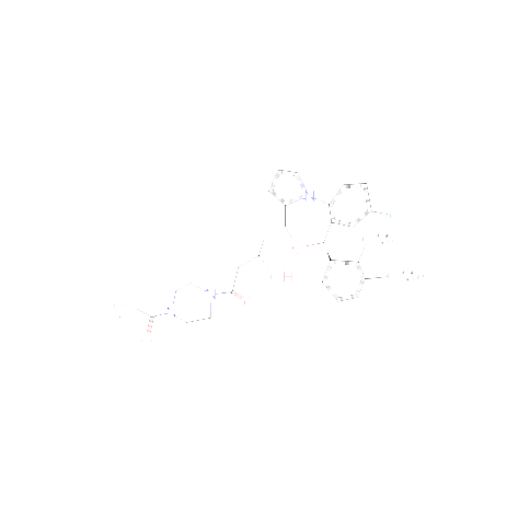 COc1cccc([C@H]2O[C@H](CC(O)CC(=O)N3CCN(C(=O)C(=O)O)CC3)c3cccn3-c3ccc(Cl)cc32)c1OC